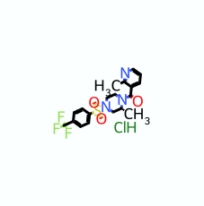 Cc1ncccc1C(=O)N1CCN(S(=O)(=O)c2ccc(C(F)(F)F)cc2)C[C@@H]1C.Cl